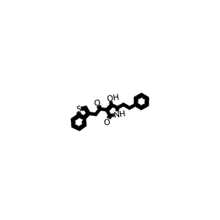 O=C(Cc1csc2ccccc12)C1=C(O)C(CCc2ccccc2)NC1=O